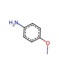 Nc1ccc(OI)cc1